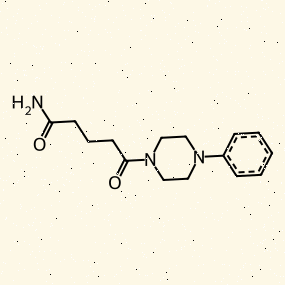 NC(=O)CCCC(=O)N1CCN(c2ccccc2)CC1